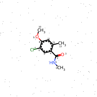 CNC(=O)c1cc(Cl)c(OC)cc1C